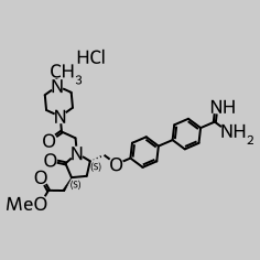 COC(=O)C[C@@H]1C[C@@H](COc2ccc(-c3ccc(C(=N)N)cc3)cc2)N(CC(=O)N2CCN(C)CC2)C1=O.Cl